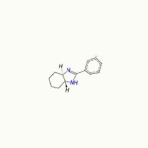 [c]1cccc(C2=N[C@@H]3CCCC[C@H]3N2)c1